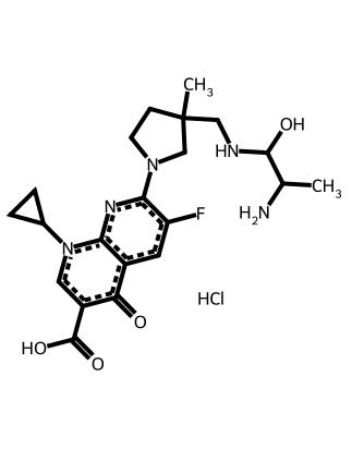 CC(N)C(O)NCC1(C)CCN(c2nc3c(cc2F)c(=O)c(C(=O)O)cn3C2CC2)C1.Cl